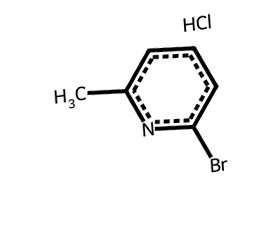 Cc1cccc(Br)n1.Cl